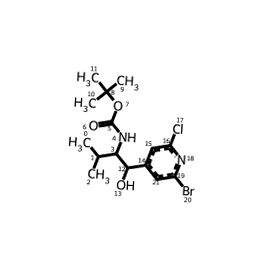 CC(C)C(NC(=O)OC(C)(C)C)C(O)c1cc(Cl)nc(Br)c1